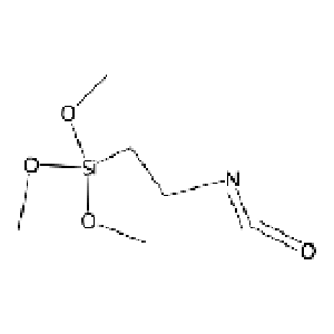 CO[Si](CCN=C=O)(OC)OC